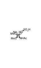 COP(=O)(NC(C)=O)SC.N.O=S(=O)(O)O